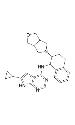 c1ccc2c(c1)CCC(N1CC3COCC3C1)C2Nc1ncnc2[nH]c(C3CC3)cc12